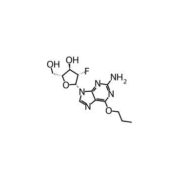 CCCOc1nc(N)nc2c1ncn2[C@@H]1O[C@H](CO)[C@@H](O)[C@@H]1F